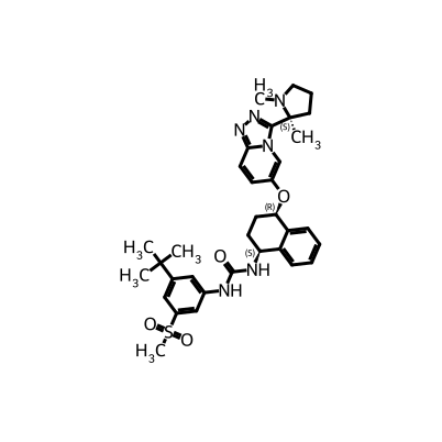 CN1CCC[C@@]1(C)c1nnc2ccc(O[C@@H]3CC[C@H](NC(=O)Nc4cc(C(C)(C)C)cc(S(C)(=O)=O)c4)c4ccccc43)cn12